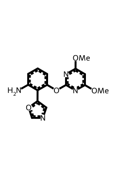 COc1cc(OC)nc(Oc2cccc(N)c2-c2cnco2)n1